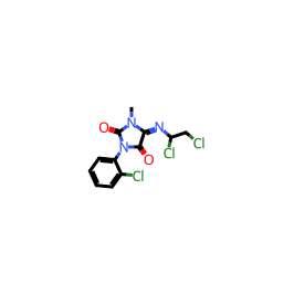 CN1C(=O)N(c2ccccc2Cl)C(=O)C1=NC(Cl)CCl